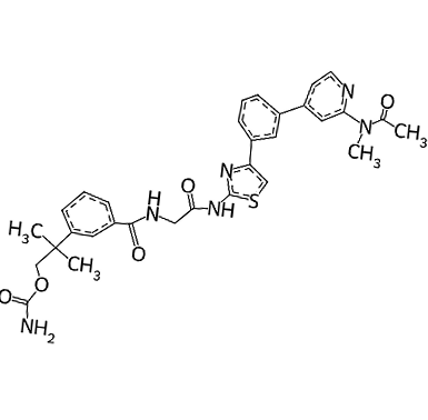 CC(=O)N(C)c1cc(-c2cccc(-c3csc(NC(=O)CNC(=O)c4cccc(C(C)(C)COC(N)=O)c4)n3)c2)ccn1